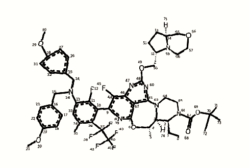 CC[C@H]1[C@H]2[C@H](C)Oc3nc(-c4c(F)c(N(Cc5ccc(OC)cc5)Cc5ccc(OC)cc5)cc(C)c4C(F)(F)C(F)(F)F)c(F)c4nc(OC[C@@H]5CC[C@H]6COCCN65)nc(c34)N2CCN1C(=O)OC(C)(C)C